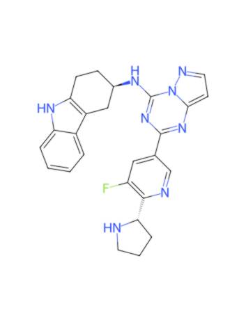 Fc1cc(-c2nc(N[C@@H]3CCc4[nH]c5ccccc5c4C3)n3nccc3n2)cnc1[C@@H]1CCCN1